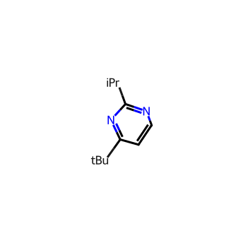 CC(C)c1nccc(C(C)(C)C)n1